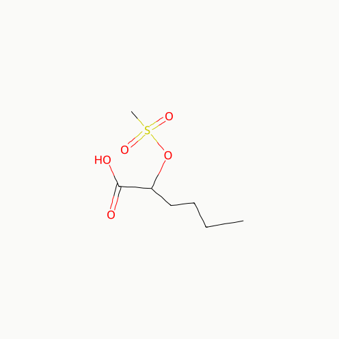 CCCCC(OS(C)(=O)=O)C(=O)O